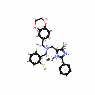 CCCCn1c(-c2ccccc2)nc(Cl)c1CN(Cc1ccc2c(c1)OCCO2)Cc1c(F)cccc1F